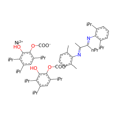 CC(C)c1cc(C(C)C)c(C(C)C)c(O)c1OC(=O)[O-].CC(C)c1cc(C(C)C)c(C(C)C)c(O)c1OC(=O)[O-].CCCC(=Nc1c(C(C)C)cccc1C(C)C)C(C)=Nc1c(C)cccc1C.[Ni+2]